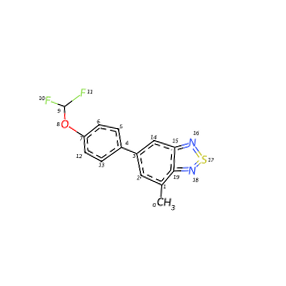 Cc1[c]c(-c2ccc(OC(F)F)cc2)cc2nsnc12